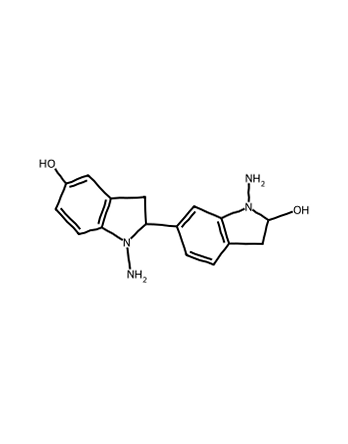 NN1c2cc(C3Cc4cc(O)ccc4N3N)ccc2CC1O